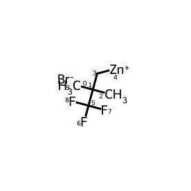 CC(C)([CH2][Zn+])C(F)(F)F.[Br-]